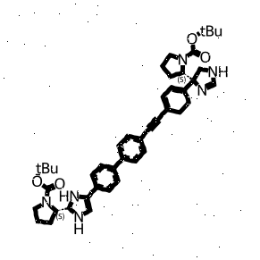 CC(C)(C)OC(=O)N1CCC[C@H]1C1(C2=CC=C(C#Cc3ccc(-c4ccc(C5=CNC([C@@H]6CCCN6C(=O)OC(C)(C)C)N5)cc4)cc3)CC2)CNC=N1